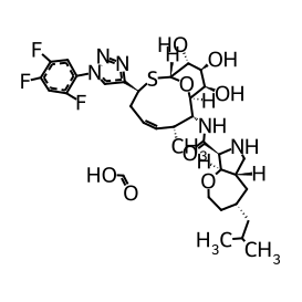 CC(C)C[C@@H]1CCO[C@@H]2[C@H](CN[C@@H]2C(=O)N[C@H]2[C@H]3O[C@H](S[C@H](c4cn(-c5cc(F)c(F)cc5F)nn4)CC=C[C@H]2C)[C@H](O)[C@@H](O)[C@H]3O)C1.O=CO